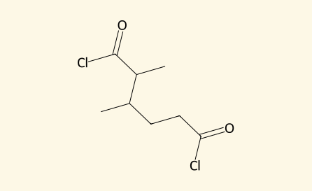 CC(CCC(=O)Cl)C(C)C(=O)Cl